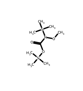 CON(C(=O)O[Si](C)(C)C)[Si](C)(C)C